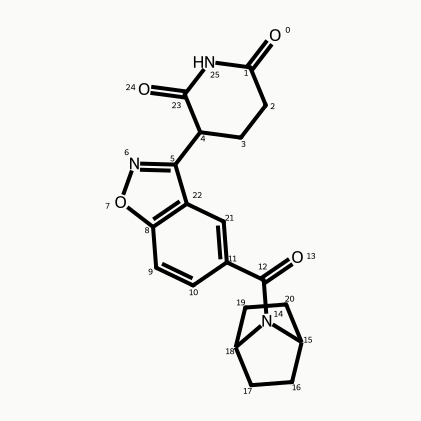 O=C1CCC(c2noc3ccc(C(=O)N4C5CCC4CC5)cc23)C(=O)N1